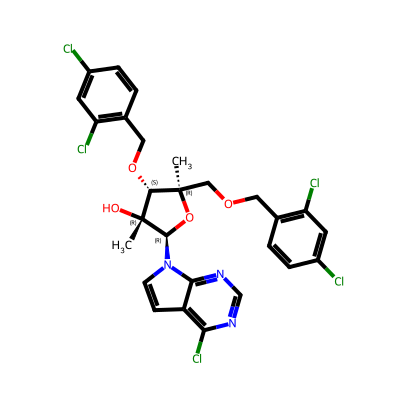 C[C@]1(O)[C@H](n2ccc3c(Cl)ncnc32)O[C@](C)(COCc2ccc(Cl)cc2Cl)[C@H]1OCc1ccc(Cl)cc1Cl